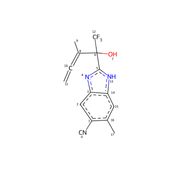 [C-]#[N+]c1cc2nc(C(O)(C(C)=C=C)C(F)(F)F)[nH]c2cc1C